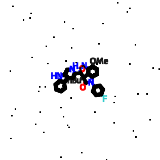 CCCCC1(C(=O)c2cc3c(cn2)[nH]c2ccccc23)C(=O)N(c2ccc(F)cc2)c2ccc(OC)c(N)c21